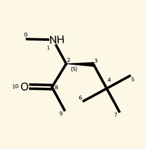 CN[C@@H](CC(C)(C)C)C(C)=O